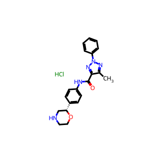 Cc1nn(-c2ccccc2)nc1C(=O)Nc1ccc([C@H]2CNCCO2)cc1.Cl